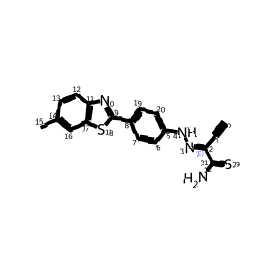 C#C/C(=N\Nc1ccc(-c2nc3ccc(C)cc3s2)cc1)C(N)=S